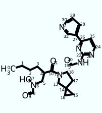 CCCCC(CN(O)C=O)C(=O)N1CC2(CC2)C[C@H]1C(=O)Nc1nccc(-c2cccnc2)n1